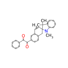 CN1c2ccccc2C(C)(C)C12C=Cc1cc(C(=O)C(=O)c3ccccc3)ccc1C2